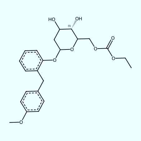 CCOC(=O)OCC1OC(Oc2ccccc2Cc2ccc(OC)cc2)CC(O)[C@@H]1O